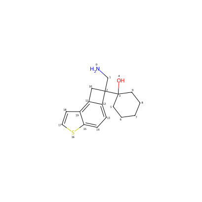 NCC1(C2(O)CCCCC2)Cc2c1ccc1sccc21